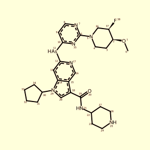 CO[C@H]1CCN(c2nccc([AsH]c3cc4c(cn3)c(C(=O)NC3CCNCC3)cn4C3CCCC3)n2)C[C@H]1F